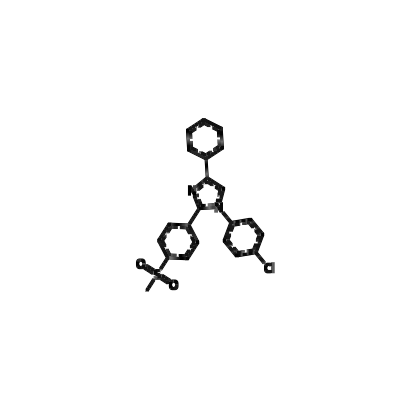 CS(=O)(=O)c1ccc(-c2nc(-c3ccccc3)cn2-c2ccc(Cl)cc2)cc1